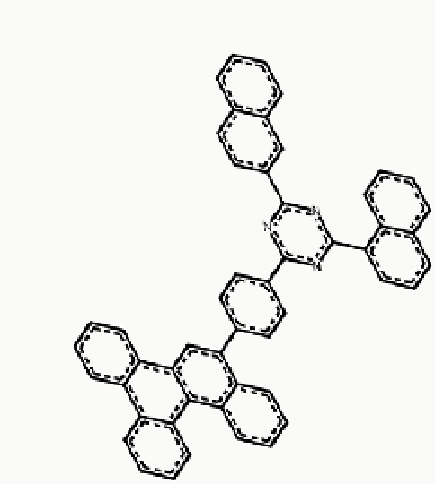 c1ccc2cc(-c3nc(-c4ccc(-c5cc6c7ccccc7c7ccccc7c6c6ccccc56)cc4)nc(-c4cccc5ccccc45)n3)ccc2c1